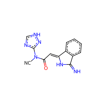 N#CN(C(=O)C=C1NC(=N)c2ccccc21)c1nc[nH]n1